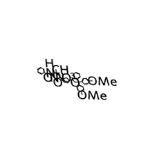 COc1ccc(C(OCC2CCC(n3cc(C)c(NC(=O)c4ccccc4)nc3=O)O2)(c2ccccc2)c2ccc(OC)cc2)cc1